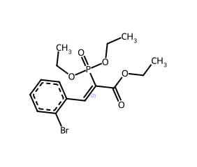 CCOC(=O)/C(=C/c1ccccc1Br)P(=O)(OCC)OCC